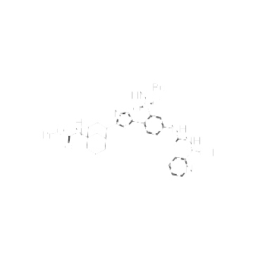 CC(C)OC(=O)NC12CCCC(C1)C(c1ncc(-c3ccc(NC(=O)N[C@@H](C)c4ccccn4)cc3S(=O)(=O)NC(C)(C)C)s1)CC2